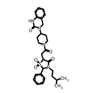 CC(C)CCN1C(=O)C(CC(=O)N2CCC(N3Cc4ccccc4NC3=O)CC2)S(=O)(=O)C1c1ccccc1